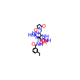 CCc1cccc(C(=O)N[C@H]2CN3C(=N)N[C@@H](CN4C(=O)CCC4=O)C4NC(=N)NC43C2(O)O)c1